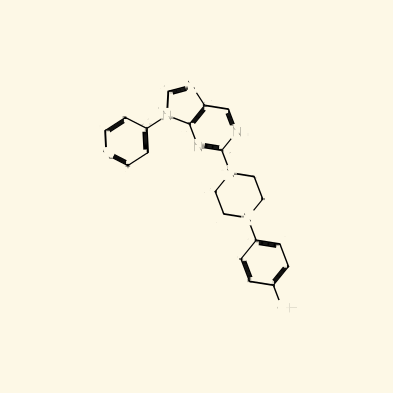 Oc1ccc(N2CCN(c3ncc4ncn(-c5ccncc5)c4n3)CC2)cc1